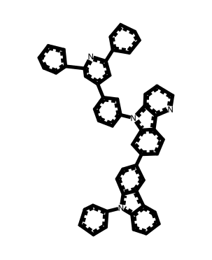 c1ccc(-c2cc(-c3cccc(-n4c5cc(-c6ccc7c(c6)c6ccccc6n7-c6ccccc6)ccc5c5ncccc54)c3)cc(-c3ccccc3)n2)cc1